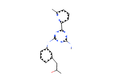 CC(O)Cc1cccc(Nc2nc(NC(C)C)nc(-c3cccc(C(F)(F)F)n3)n2)c1